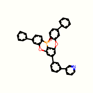 O=P12c3ccc(-c4ccccc4)cc3Oc3cc(-c4cccc(-c5cccnc5)c4)cc(c31)Oc1cc(-c3ccccc3)ccc12